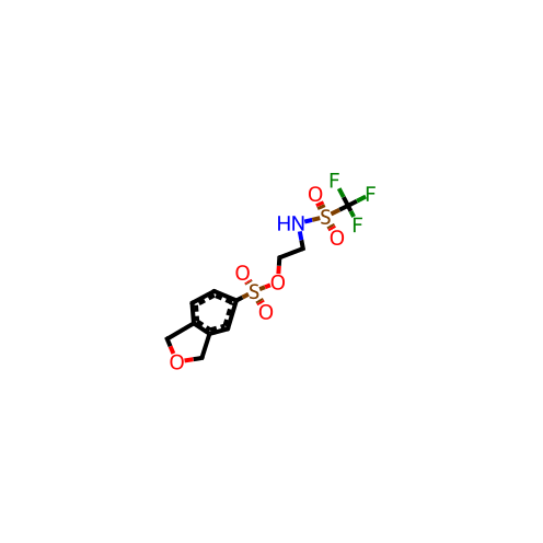 O=S(=O)(OCCNS(=O)(=O)C(F)(F)F)c1ccc2c(c1)COC2